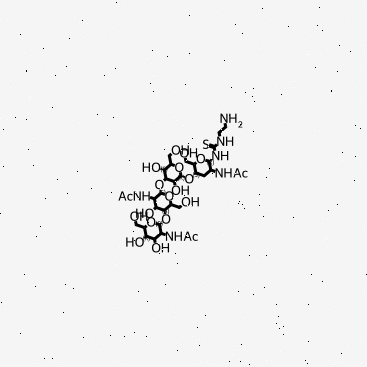 CC(=O)NC1C(O)[C@@H](O)C(CO)O[C@H]1O[C@@H]1C(CO)O[C@@H](OC2C(O)[C@H](O[C@H]3CC(NC(C)=O)[C@H](NC(=S)NCCN)OC3CO)OC(CO)[C@@H]2O)C(NC(C)=O)C1O